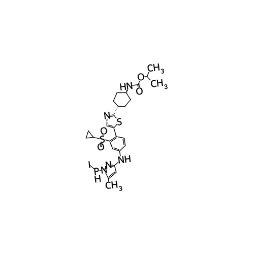 Cc1cc(Nc2ccc(-c3cnc([C@H]4CC[C@H](NC(=O)OC(C)C)CC4)s3)c(S(=O)(=O)C3CC3)c2)nn1PI